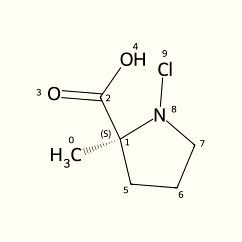 C[C@@]1(C(=O)O)CCCN1Cl